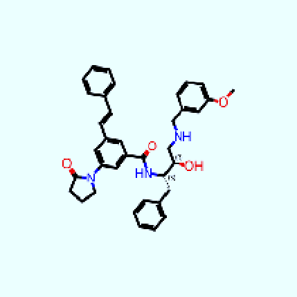 COc1cccc(CNC[C@@H](O)[C@H](Cc2ccccc2)NC(=O)c2cc(C=Cc3ccccc3)cc(N3CCCC3=O)c2)c1